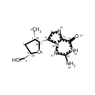 C[C@H]1C[C@@H](CO)O[C@H]1c1cnc2c(=O)[nH]c(N)nn12